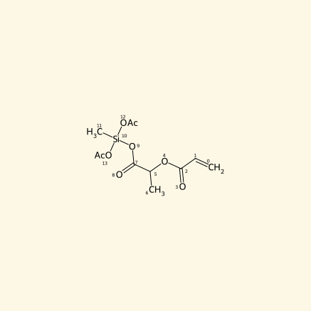 C=CC(=O)OC(C)C(=O)O[Si](C)(OC(C)=O)OC(C)=O